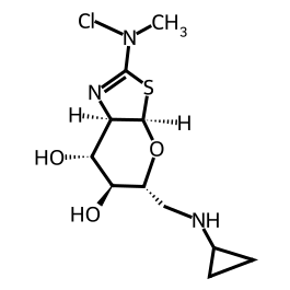 CN(Cl)C1=N[C@@H]2[C@@H](O)[C@H](O)[C@@H](CNC3CC3)O[C@@H]2S1